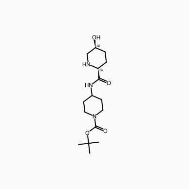 CC(C)(C)OC(=O)N1CCC(NC(=O)[C@@H]2CC[C@H](O)CN2)CC1